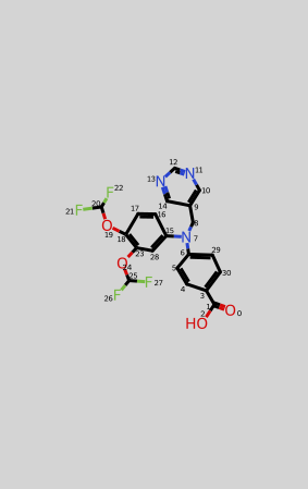 O=C(O)c1ccc(N(Cc2cncnc2)c2ccc(OC(F)F)c(OC(F)F)c2)cc1